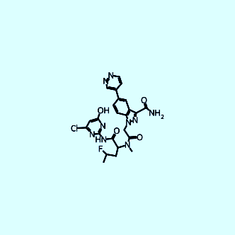 CC(F)CC(C(=O)Nc1nc(O)cc(Cl)n1)N(C)C(=O)Cn1nc(C(N)=O)c2cc(-c3ccnnc3)ccc21